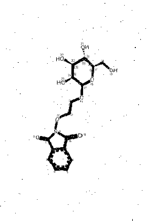 O=C1c2ccccc2C(=O)N1OCCOC1O[C@H](CO)[C@@H](O)[C@H](O)[C@@H]1O